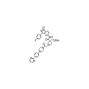 CSCC1(C(=O)Nc2ccc3[nH]nc(-c4ccc(F)cc4)c3c2)CCN(CC(=O)N2CCN(c3ccc(-c4ncccn4)cc3)CC2)C1